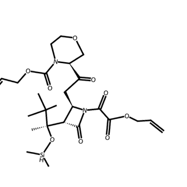 C=CCOC(=O)C(=O)N1C(=O)[C@H]([C@@](C)(O[SiH](C)C)C(C)(C)C)[C@H]1CC(=O)[C@@H]1COCCN1C(=O)OCC=C